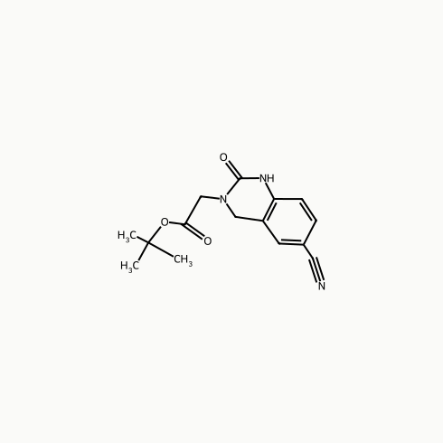 CC(C)(C)OC(=O)CN1Cc2cc(C#N)ccc2NC1=O